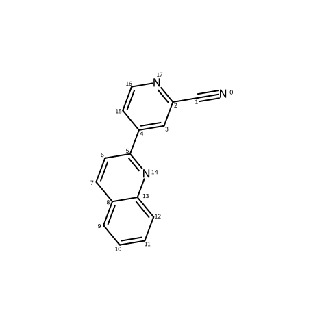 N#Cc1cc(-c2ccc3c[c]ccc3n2)ccn1